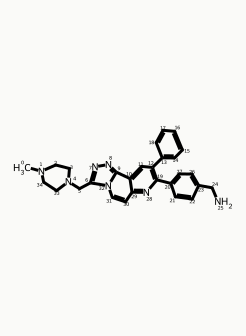 CN1CCN(Cc2nnc3c4cc(-c5ccccc5)c(-c5ccc(CN)cc5)nc4ccn23)CC1